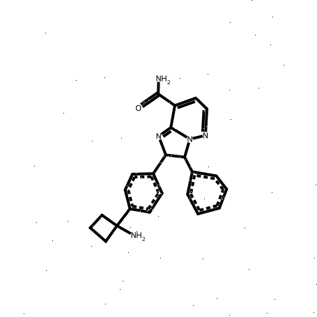 NC(=O)C1=CC=NN2C1=NC(c1ccc(C3(N)CCC3)cc1)C2c1ccccc1